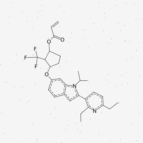 C=CC(=O)OC1CCC(Oc2ccc3cc(-c4ccc(CC)nc4CC)n(C(C)C)c3c2)C1C(F)(F)F